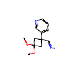 COC1(OC)CC(C=N)(c2cccnc2)C1